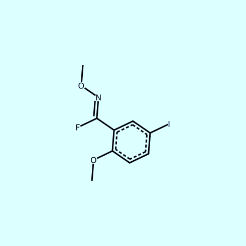 CO/N=C(\F)c1cc(I)ccc1OC